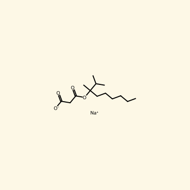 CCCCCCC(C)(OC(=O)CC(=O)[O-])C(C)C.[Na+]